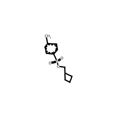 Cc1ccc(S(=O)(=O)OCC2CCC2)cc1